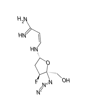 [N-]=[N+]=N[C@]1(CO)O[C@@H](N/C=C\C(=N)N)C[C@@H]1F